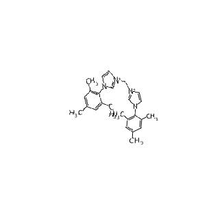 Cc1cc(C)c(-n2cc[n+](C[n+]3ccn(-c4c(C)cc(C)cc4C)c3)c2)c(C)c1